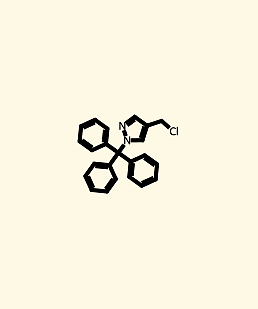 ClCc1cnn(C(c2ccccc2)(c2ccccc2)c2ccccc2)c1